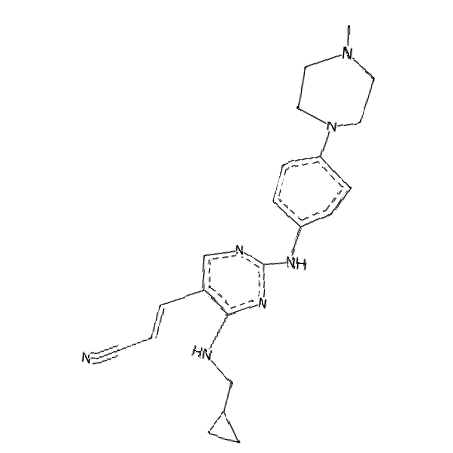 CN1CCN(c2ccc(Nc3ncc(/C=C/C#N)c(NCC4CC4)n3)cc2)CC1